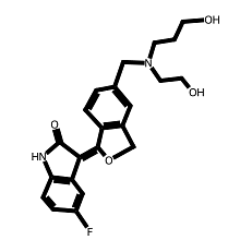 O=C1Nc2ccc(F)cc2/C1=C1\OCc2cc(CN(CCO)CCCO)ccc21